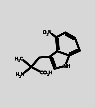 CC(N)(Cc1c[nH]c2cccc([N+](=O)[O-])c12)C(=O)O